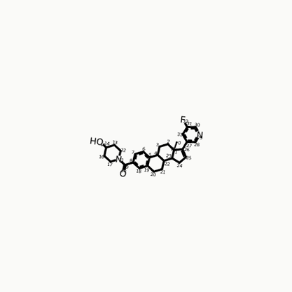 C[C@]12CCC3c4ccc(C(=O)N5CCC(O)CC5)cc4CCC3C1CC=C2c1cncc(F)c1